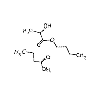 CCCC(=O)O.CCCCOC(=O)C(C)O